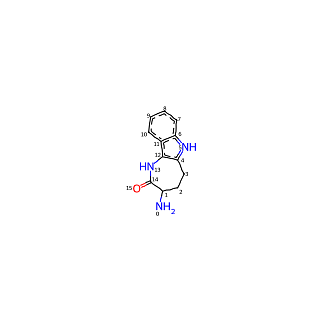 NC1CCc2[nH]c3ccccc3c2NC1=O